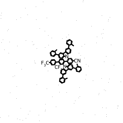 Cc1ccccc1-c1ccc2c(c1)c1cc(-c3ccccc3C)ccc1n2-c1cc(C#N)ccc1-c1ccc(-c2ccc(C(F)(F)F)cc2C(F)(F)F)cc1-n1c2ccc(-c3ccccc3C)cc2c2cc(-c3ccccc3C)ccc21